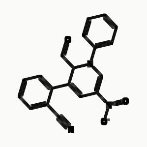 N#Cc1ccccc1C1=CC([N+](=O)[O-])=CN(c2ccccc2)C1C=O